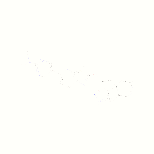 CC(=O)N(C)c1ncc(-c2ccc3nc(OCCC4(c5cnno5)CCNCC4C(C)C)sc3n2)cn1